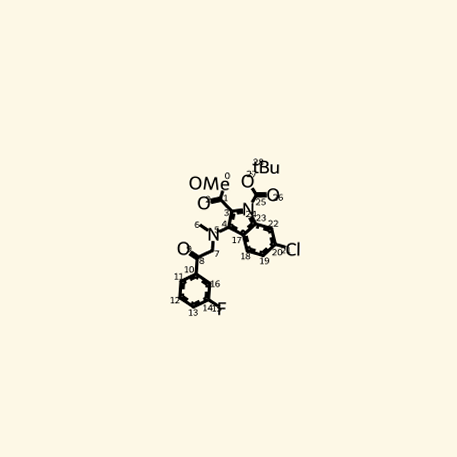 COC(=O)c1c(N(C)CC(=O)c2cccc(F)c2)c2ccc(Cl)cc2n1C(=O)OC(C)(C)C